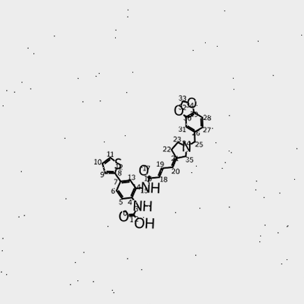 O=C(O)Nc1ccc(-c2cccs2)cc1NC(=O)C=CC=C1CCN(Cc2ccc3c(c2)OCO3)C1